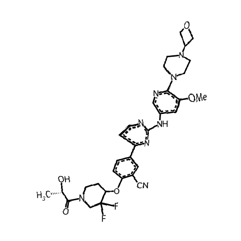 COc1cc(Nc2nccc(-c3ccc(OC4CCN(C(=O)[C@H](C)O)CC4(F)F)c(C#N)c3)n2)cnc1N1CCN(C2COC2)CC1